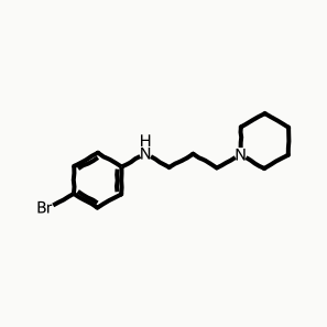 Brc1ccc(NCCCN2CCCCC2)cc1